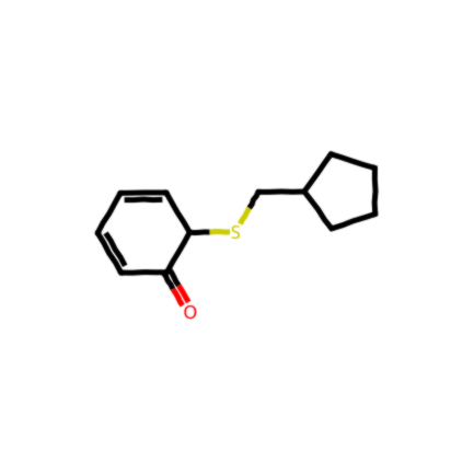 O=C1C=CC=CC1SCC1CCCC1